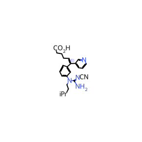 CC(C)CCN(C(N)=NC#N)c1cccc(/C(=C\CCCC(=O)O)c2cccnc2)c1